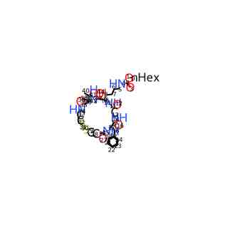 CCCCCCOC(=O)NCCCC[C@@H]1NC(=O)CNC(=O)[C@H](Cc2ccccc2)NC(=O)CCSSCCNC(=O)[C@](C)(C(C)O)NC1=O